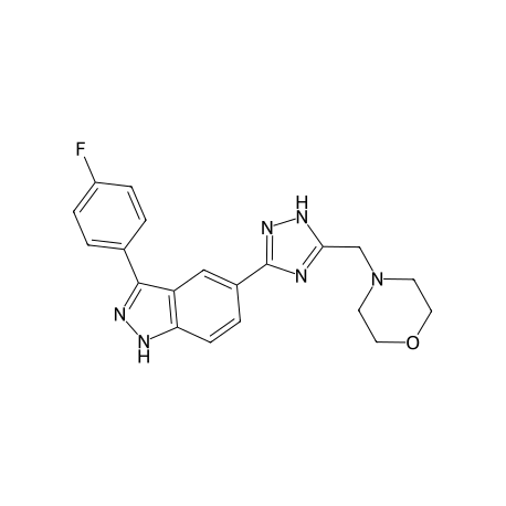 Fc1ccc(-c2n[nH]c3ccc(-c4n[nH]c(CN5CCOCC5)n4)cc23)cc1